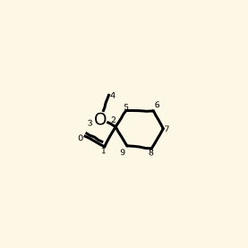 C=CC1(OC)CCCCC1